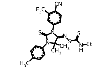 CCNC(=S)S/N=C1/N(c2ccc(C#N)c(C(F)(F)F)c2)C(=S)N(c2ccc(C)cc2)C1(C)C